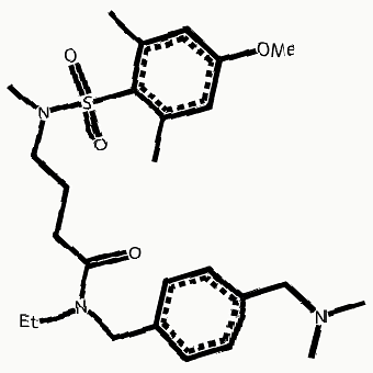 CCN(Cc1ccc(CN(C)C)cc1)C(=O)CCCN(C)S(=O)(=O)c1c(C)cc(OC)cc1C